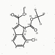 COC(=O)c1cc2cccc(Cl)c2n1C(=O)OC(C)(C)C